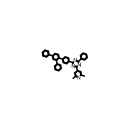 Cc1cc(-c2nc(-c3ccccc3)nc(-c3ccc(-c4ccc(-c5ccccc5)cc4-c4ccccc4)cc3)n2)cc(C)n1